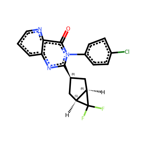 O=c1c2ncccc2nc([C@H]2C[C@@H]3[C@H](C2)C3(F)F)n1-c1ccc(Cl)cc1